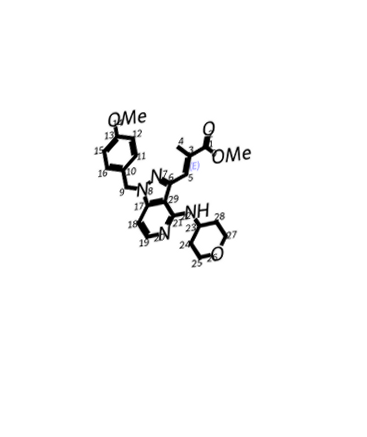 COC(=O)/C(C)=C/c1nn(Cc2ccc(OC)cc2)c2ccnc(NC3CCOCC3)c12